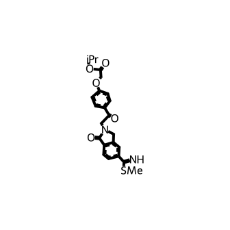 CSC(=N)c1ccc2c(c1)CN(CC(=O)c1ccc(OCC(=O)OC(C)C)cc1)C2=O